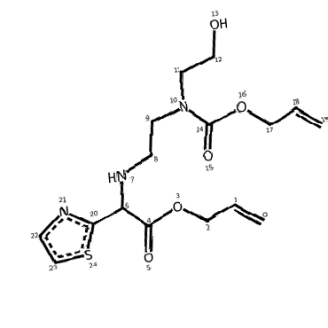 C=CCOC(=O)C(NCCN(CCO)C(=O)OCC=C)c1nccs1